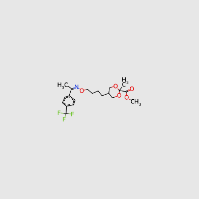 COC(=O)C1(C)OCC(CCCCON=C(C)c2ccc(C(F)(F)F)cc2)CO1